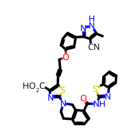 Cc1[nH]nc(-c2cccc(OCC#Cc3sc(N4CCc5cccc(C(=O)Nc6nc7ccccc7s6)c5C4)nc3C(=O)O)c2)c1C#N